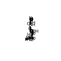 CC(C)COC(=O)N[C@@H](CNC(=O)c1ccc(OCCNC(=O)NCc2cccnc2)cc1O)C(=O)O